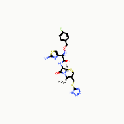 Nc1nc(/C(=N\OCc2ccc(F)cc2)C(=O)NC2C(=O)N3C(C(=O)O)=C(CSc4nnn[nH]4)CS[C@H]23)cs1